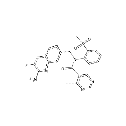 Cc1ncncc1C(=O)N(Cc1ccc2cc(F)c(N)nc2c1)c1ccccc1S(C)(=O)=O